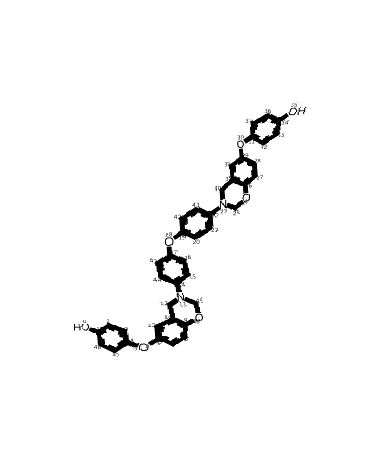 Oc1ccc(Oc2ccc3c(c2)CN(c2ccc(Oc4ccc(N5COc6ccc(Oc7ccc(O)cc7)cc6C5)cc4)cc2)CO3)cc1